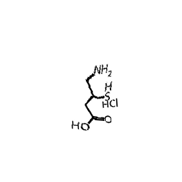 Cl.NCC(S)CC(=O)O